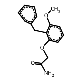 COc1cccc(OCC(N)=O)c1Cc1ccccc1